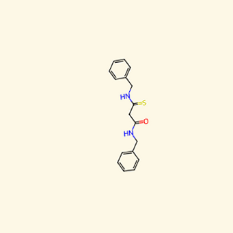 O=C(CC(=S)NCc1ccccc1)NCc1ccccc1